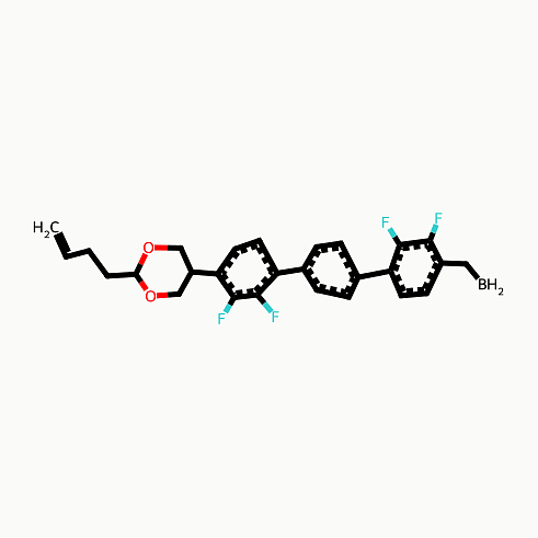 BCc1ccc(-c2ccc(-c3ccc(C4COC(CCC=C)OC4)c(F)c3F)cc2)c(F)c1F